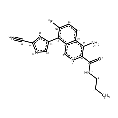 CCCNC(=O)c1ncc2c(-c3cnc(C#N)s3)c(F)ccc2c1N